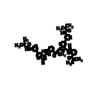 CC(C)CC(=O)Nc1cncc(-c2cnc3[nH]nc(-c4nc5c(C(=O)N(C)Cn6nc(-c7nc8c(C(=O)N(C)C)cccc8[nH]7)c7cc(-c8cncc(NC(=O)C(C)C)c8)cnc76)cccc5[nH]4)c3c2)c1